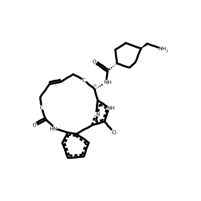 NC[C@H]1CC[C@H](C(=O)N[C@H]2CC/C=C/CCC(=O)Nc3ccccc3-c3nc2[nH]c3Cl)CC1